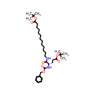 CC(C)(C)OC(=O)CCCCCCCCCCCCNC(=O)[C@H](CCC(=O)OC(C)(C)C)NC(=O)OCc1ccccc1